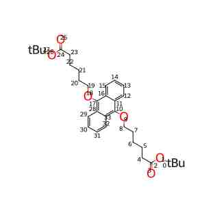 CC(C)(C)OC(=O)CCCCCOc1c2ccccc2c(OCCCCCC(=O)OC(C)(C)C)c2ccccc12